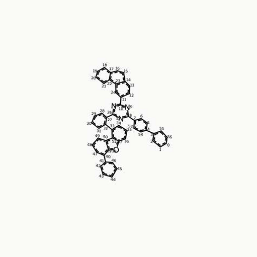 c1ccc(-c2ccc(-c3nc(-c4ccc5ccc6ccccc6c5c4)nc(-c4ccccc4-c4cccc5oc6c(-c7ccccc7)cccc6c45)n3)cc2)cc1